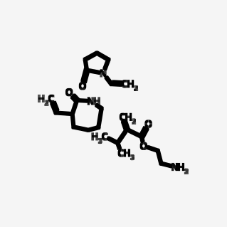 C=C(C(=O)OCCN)C(C)C.C=CC1CCCCNC1=O.C=CN1CCCC1=O